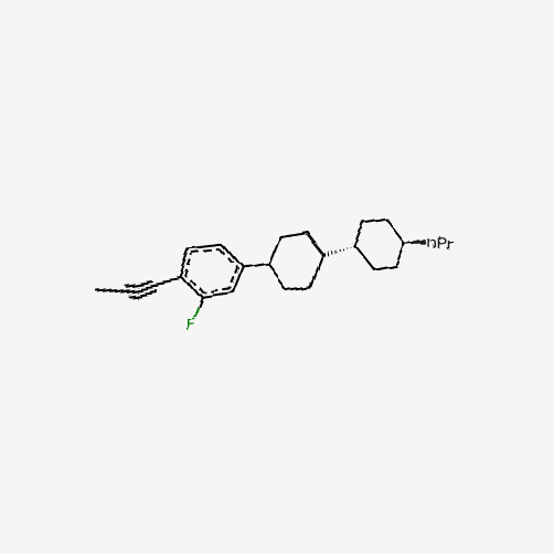 CC#Cc1ccc(C2CCC([C@H]3CC[C@H](CCC)CC3)CC2)cc1F